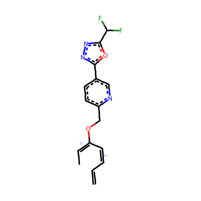 C=C/C=C\C(=C/C)OCc1ccc(-c2nnc(C(F)F)o2)cn1